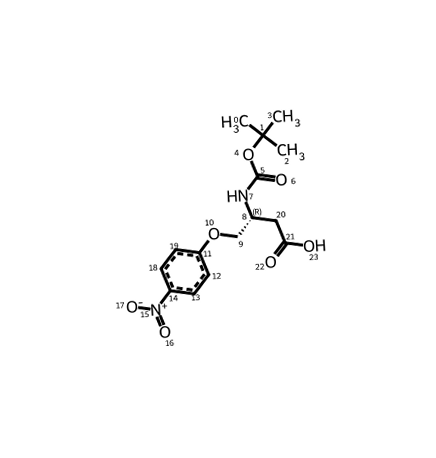 CC(C)(C)OC(=O)N[C@@H](COc1ccc([N+](=O)[O-])cc1)CC(=O)O